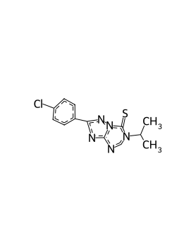 CC(C)n1cnc2nc(-c3ccc(Cl)cc3)nn2c1=S